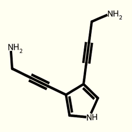 NCC#Cc1c[nH]cc1C#CCN